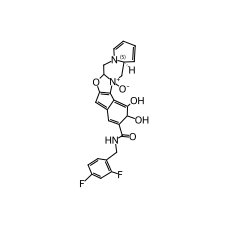 O=C(NCc1ccc(F)cc1F)C1=CC2=CC3=C(C2=C(O)C1O)[N+]1([O-])C[C@@H]2C=CC=CN2CC1O3